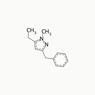 CCc1cc(Cc2ccccc2)nn1C